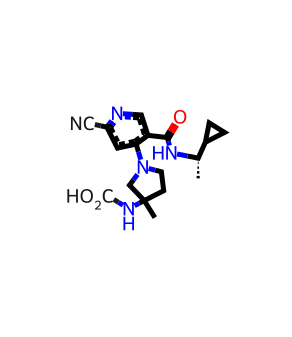 C[C@H](NC(=O)c1cnc(C#N)cc1N1CCC(C)(NC(=O)O)C1)C1CC1